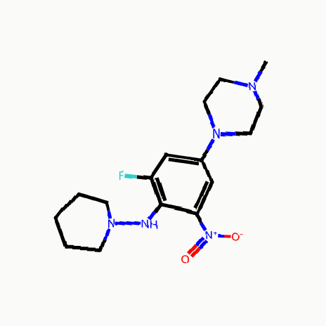 CN1CCN(c2cc(F)c(NN3CCCCC3)c([N+](=O)[O-])c2)CC1